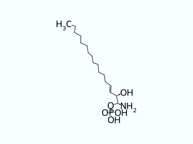 CCCCCCCCCCCCC/C=C/[C@@H](O)[C@@H](N)OP(=O)(O)O